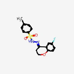 Cc1ccc(S(=O)(=O)NN=C2CCOc3ccc(F)cc32)cc1